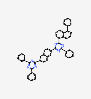 c1ccc(-c2nc(-c3ccccc3)nc(-c3ccc4cc(-c5nc(-c6ccccc6)nc(-c6cccc7c(-c8ccccc8)cccc67)n5)ccc4c3)n2)cc1